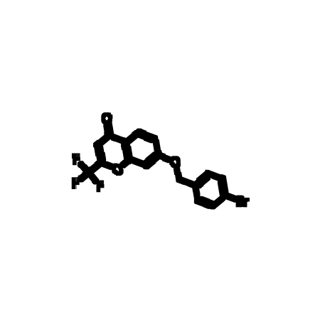 O=c1cc(C(F)(F)F)oc2cc(OCc3ccc(Br)cc3)ccc12